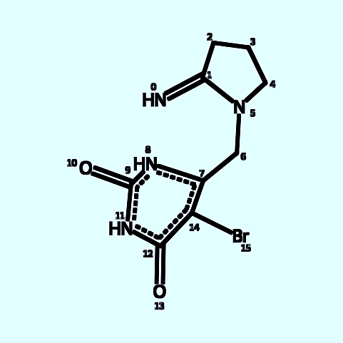 N=C1CCCN1Cc1[nH]c(=O)[nH]c(=O)c1Br